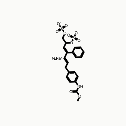 COC(=O)Nc1ccc(CC=CC(=CC(COS(=O)(=O)[O-])OS(=O)(=O)[O-])c2ccccc2)cc1.[Na+].[Na+]